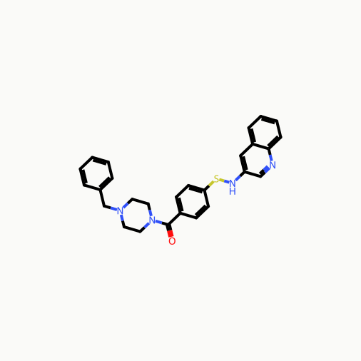 O=C(c1ccc(SNc2cnc3ccccc3c2)cc1)N1CCN(Cc2ccccc2)CC1